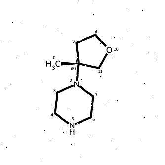 C[C@@]1(N2CCNCC2)CCOC1